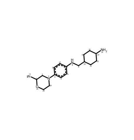 CC(C)C1CN(c2ccc(NCC3CCC(N)CC3)cc2)CCO1